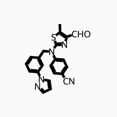 Cc1sc(N(Cc2cccc(-n3cccn3)c2)c2ccc(C#N)cc2)nc1C=O